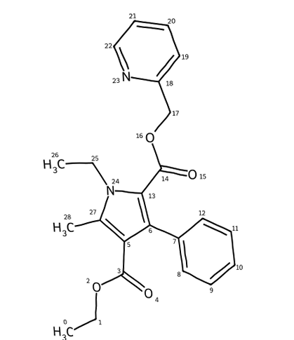 CCOC(=O)c1c(-c2ccccc2)c(C(=O)OCc2ccccn2)n(CC)c1C